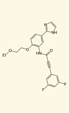 CCOCCOc1ccc(-c2ncc[nH]2)cc1NC(=O)C#Cc1cc(F)cc(F)c1